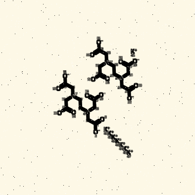 O=C([O-])CN(CCN(CC(=O)[O-])CC(=O)[O-])CC(=O)[O-].O=C([O-])CN(CCN(CC(=O)[O-])CC(=O)[O-])CC(=O)[O-].[K+].[K+].[K+].[K+].[K+].[K+].[K+].[K+]